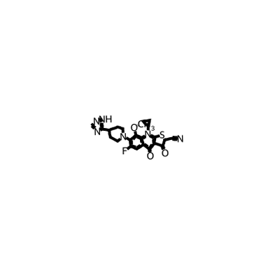 COc1c(N2CCC(c3ncn[nH]3)CC2)c(F)cc2c(=O)c3c(n(C4CC4)c12)SC(C#N)C3=O